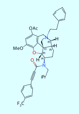 COc1cc(OC(C)=O)c2c3c1O[C@H]1[C@H](N(CC(C)C)C(=O)C#Cc4ccc(C(F)(F)F)cc4)CC[C@H]4[C@@H](C2)N(CCc2ccccc2)CC[C@@]341